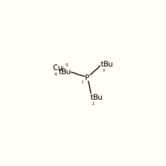 CC(C)(C)P(C(C)(C)C)C(C)(C)C.[Cu]